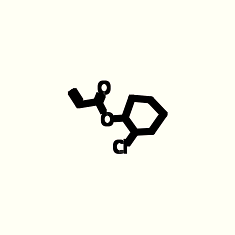 C=CC(=O)OC1CCCCC1Cl